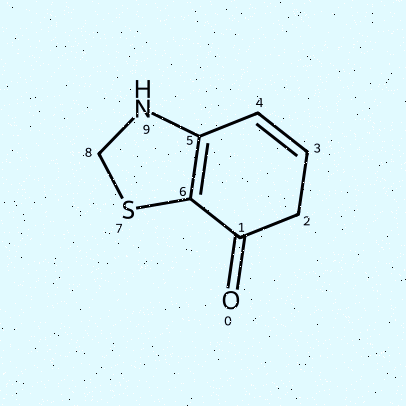 O=C1CC=CC2=C1SCN2